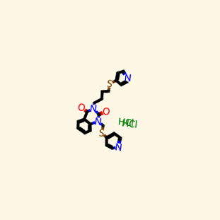 Cl.Cl.O=c1c2ccccc2n(CSc2ccncc2)c(=O)n1CCCCSc1ccncc1